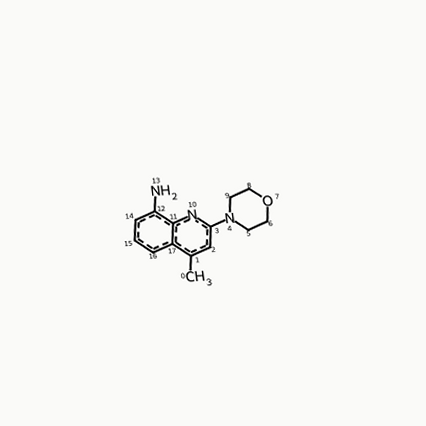 Cc1cc(N2CCOCC2)nc2c(N)cccc12